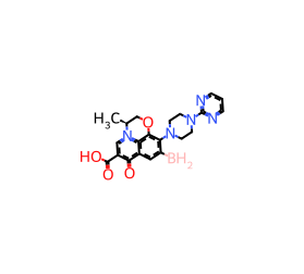 Bc1cc2c(=O)c(C(=O)O)cn3c2c(c1N1CCN(c2ncccn2)CC1)OC[C@@H]3C